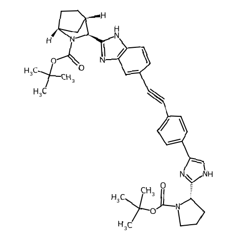 CC(C)(C)OC(=O)N1CCC[C@H]1c1nc(-c2ccc(C#Cc3ccc4[nH]c([C@@H]5[C@H]6CC[C@H](C6)N5C(=O)OC(C)(C)C)nc4c3)cc2)c[nH]1